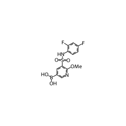 COc1ncc(B(O)O)cc1S(=O)(=O)Nc1ccc(F)cc1F